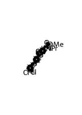 COC(=O)C(Cc1ccc2c(c1)OC[C@H](c1ccc(OCc3ccc(Cl)c(Cl)c3)cc1)O2)NC(C)C